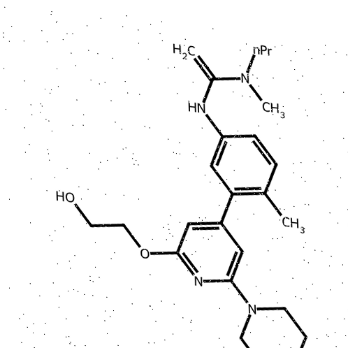 C=C(Nc1ccc(C)c(-c2cc(OCCO)nc(N3CCOCC3)c2)c1)N(C)CCC